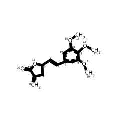 C=C1CC(C=Cc2cc(OC)c(OC)c(OC)c2)OC1=O